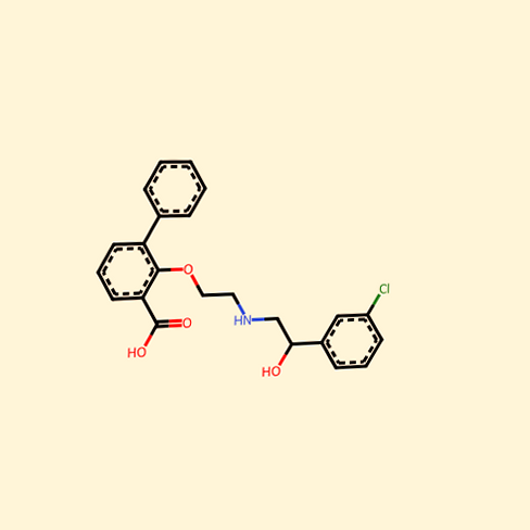 O=C(O)c1cccc(-c2ccccc2)c1OCCNCC(O)c1cccc(Cl)c1